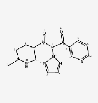 CC1CCC(C(=O)N(C(=O)c2ccccc2)n2nccn2)CN1